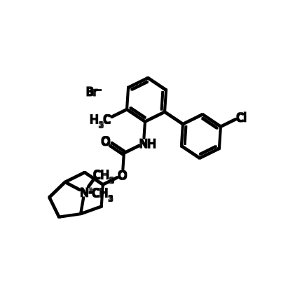 Cc1cccc(-c2cccc(Cl)c2)c1NC(=O)OC1CC2CCC(C1)[N+]2(C)C.[Br-]